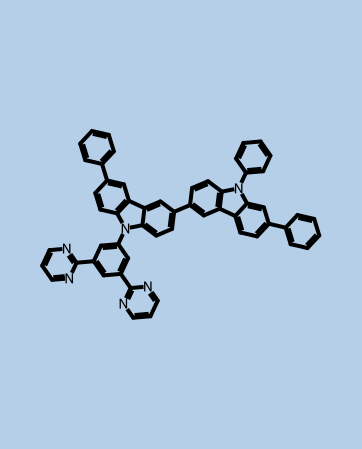 c1ccc(-c2ccc3c(c2)c2cc(-c4ccc5c(c4)c4ccc(-c6ccccc6)cc4n5-c4ccccc4)ccc2n3-c2cc(-c3ncccn3)cc(-c3ncccn3)c2)cc1